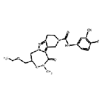 CN1OC(COCC(F)(F)F)Cn2nc3c(c2C1=O)CN(C(=O)Nc1ccc(F)c(C#N)c1)CC3